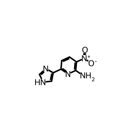 Nc1nc(-c2c[nH]cn2)ccc1[N+](=O)[O-]